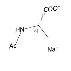 CC(=O)N[C@@H](C)C(=O)[O-].[Na+]